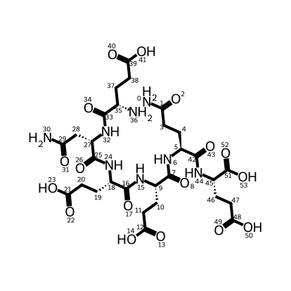 NC(=O)CC[C@H](NC(=O)[C@H](CCC(=O)O)NC(=O)[C@H](CCC(=O)O)NC(=O)[C@H](CC(N)=O)NC(=O)[C@@H](N)CCC(=O)O)C(=O)N[C@@H](CCC(=O)O)C(=O)O